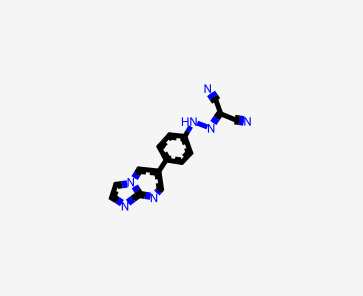 N#CC(C#N)=NNc1ccc(-c2cnc3nccn3c2)cc1